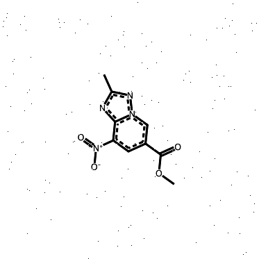 COC(=O)c1cc([N+](=O)[O-])c2nc(C)nn2c1